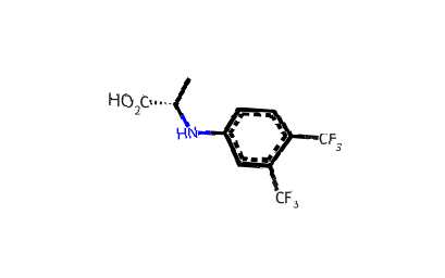 C[C@H](Nc1ccc(C(F)(F)F)c(C(F)(F)F)c1)C(=O)O